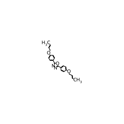 CC=CCOc1ccc(-c2nnc(-c3ccc(OCC=CC)cc3)o2)cc1